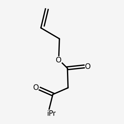 C=CCOC(=O)CC(=O)C(C)C